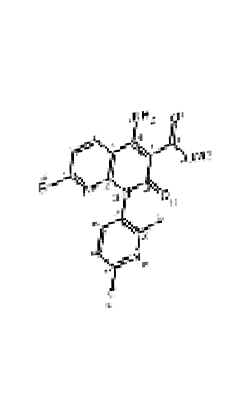 COC(=O)c1c(N)c2ccc(Br)nc2n(-c2ccc(Cl)nc2C)c1=O